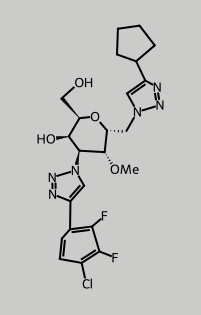 CO[C@@H]1[C@@H](n2cc(-c3ccc(Cl)c(F)c3F)nn2)[C@@H](O)[C@@H](CO)O[C@@H]1Cn1cc(C2CCCC2)nn1